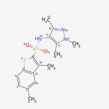 Cc1ccc2sc(S(=O)(=O)Nc3c(C)nn(C)c3C)c(C)c2c1